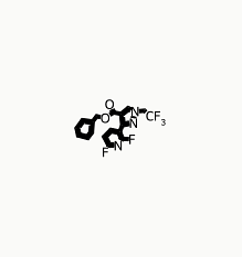 O=C(OCc1ccccc1)c1cn(CC(F)(F)F)nc1-c1ccc(F)nc1F